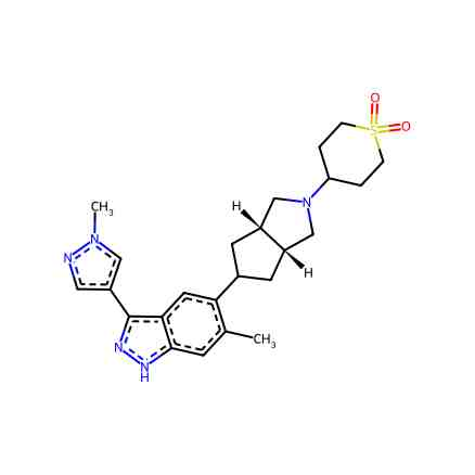 Cc1cc2[nH]nc(-c3cnn(C)c3)c2cc1C1C[C@@H]2CN(C3CCS(=O)(=O)CC3)C[C@@H]2C1